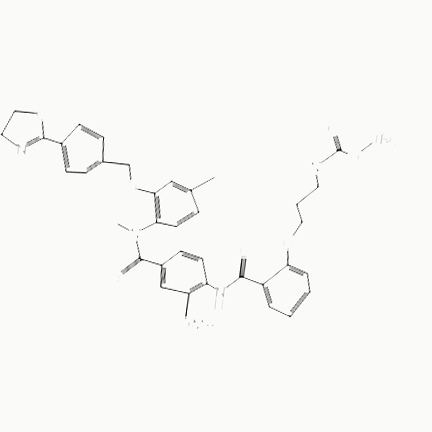 COc1cc(C(=O)N(C)c2ccc(C)cc2OCc2ccc(C3=NCCO3)cc2)ccc1NC(=O)c1ccccc1OCCCNC(=O)OC(C)(C)C